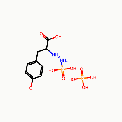 NC(Cc1ccc(O)cc1)C(=O)O.NP(=O)(O)O.O=P(O)(O)O